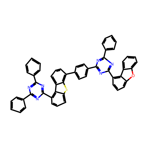 c1ccc(-c2nc(-c3ccc(-c4cccc5c4sc4cccc(-c6nc(-c7ccccc7)nc(-c7ccccc7)n6)c45)cc3)nc(-c3cccc4oc5ccccc5c34)n2)cc1